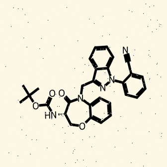 CC(C)(C)OC(=O)N[C@H]1COc2ccccc2N(Cc2nn(-c3ccccc3C#N)c3ccccc23)C1=O